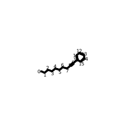 CCCCCCCCC#Cc1ccccc1